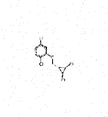 CC[C@@H]1[C@H](CC)[C@H]1COc1cc(Cl)ccc1Cl